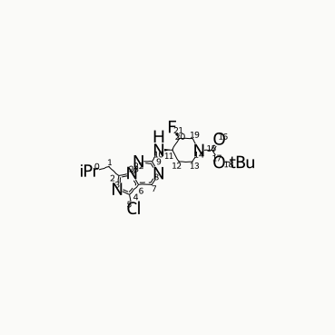 CC(C)Cc1nc(Cl)c2cnc(N[C@@H]3CCN(C(=O)OC(C)(C)C)C[C@@H]3F)nn12